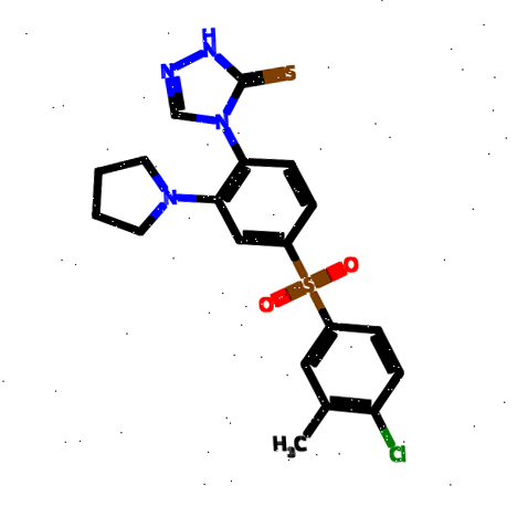 Cc1cc(S(=O)(=O)c2ccc(-n3cn[nH]c3=S)c(N3CCCC3)c2)ccc1Cl